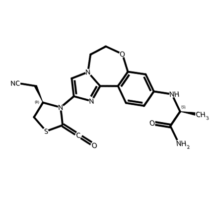 C[C@H](Nc1ccc2c(c1)OCCn1cc(N3C(=C=O)SC[C@H]3CC#N)nc1-2)C(N)=O